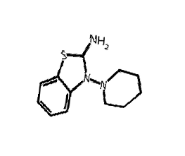 NC1Sc2ccccc2N1N1CCCCC1